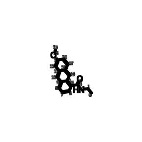 CCNC(=O)c1cccc2cc3cc(OC)ccc3cc12